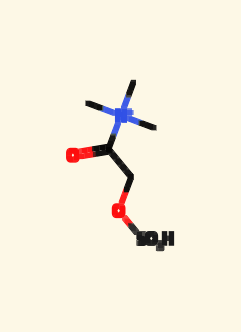 C[N+](C)(C)C(=O)COS(=O)(=O)O